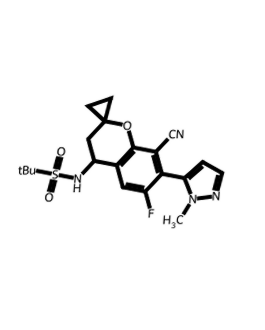 Cn1nccc1-c1c(F)cc2c(c1C#N)OC1(CC1)CC2NS(=O)(=O)C(C)(C)C